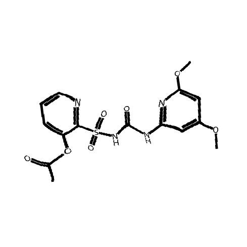 COc1cc(NC(=O)NS(=O)(=O)c2ncccc2OC(C)=O)nc(OC)c1